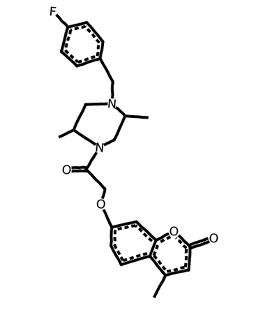 Cc1cc(=O)oc2cc(OCC(=O)N3CC(C)N(Cc4ccc(F)cc4)CC3C)ccc12